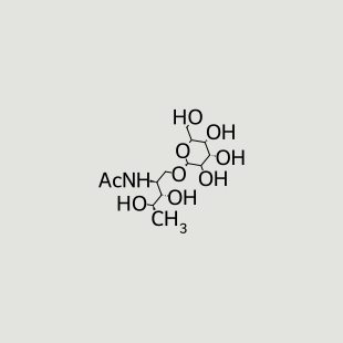 CC(=O)N[C@@H](CO[C@H]1OC(CO)[C@H](O)[C@H](O)C1O)[C@H](O)[C@@H](C)O